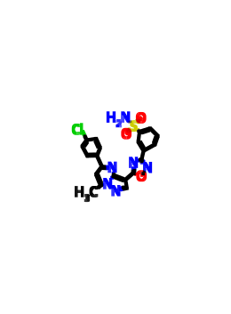 Cc1cc(-c2ccc(Cl)cc2)nc2c(-c3nc(-c4cccc(S(N)(=O)=O)c4)no3)cnn12